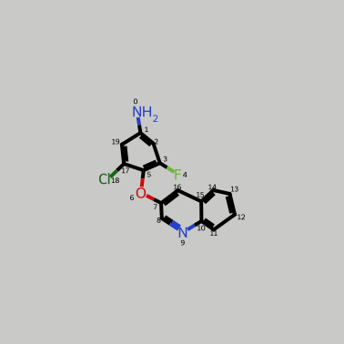 Nc1cc(F)c(Oc2cnc3ccccc3c2)c(Cl)c1